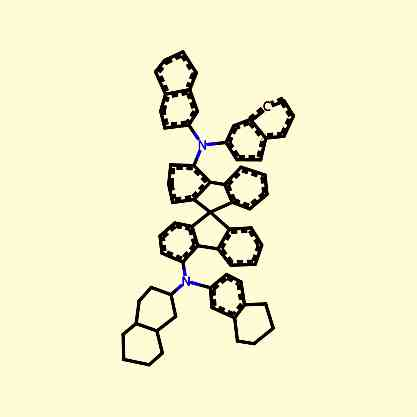 c1ccc2c(c1)-c1c(N(c3ccc4ccccc4c3)c3ccc4ccccc4c3)cccc1C21c2ccccc2-c2c(N(c3ccc4c(c3)CCCC4)C3CCC4CCCCC4C3)cccc21